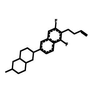 C=CCCc1c(F)cc2cc(C3CCC4CC(C)CCC4C3)ccc2c1F